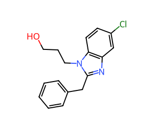 OCCCn1c(Cc2ccccc2)nc2cc(Cl)ccc21